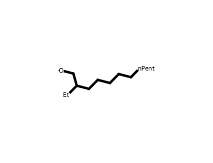 CCCCCCCCCCC(CC)C[O]